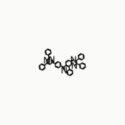 c1ccc(-c2cc(-c3ccc(-c4nc5ccccc5c5c4ccc4nc(-c6ccccc6)c(-c6ccccc6)nc45)cc3)nc(-c3ccccc3)n2)cc1